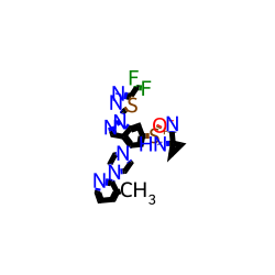 Cc1cccnc1N1CCN(c2cc([S+]([O-])NC3(C#N)CC3)cc3c2cnn3-c2nnc(C(F)F)s2)CC1